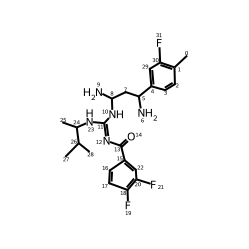 Cc1ccc(C(N)CC(N)N/C(=N\C(=O)c2ccc(F)c(F)c2)NC(C)C(C)C)cc1F